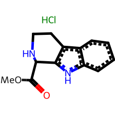 COC(=O)C1NCCc2c1[nH]c1ccccc21.Cl